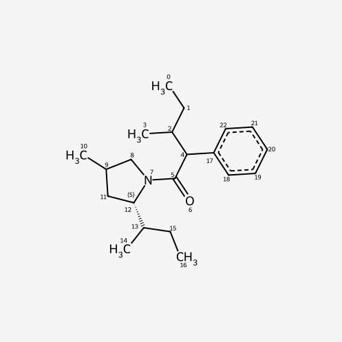 CCC(C)C(C(=O)N1CC(C)C[C@H]1C(C)CC)c1ccccc1